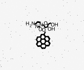 Nc1ccn(C2OC(CO)C(O)C2OCc2cc3ccc4ccc5ccc6ccc7ccc2c2c7c6c5c4c32)c(=O)n1